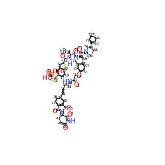 CC(C)(C)C(NC(=O)c1cc2cc(C(F)(F)P(=O)(O)O)ccc2s1)C(=O)N1Cc2cc(OCC(=O)NCCC#Cc3ccc4c(c3)C(=O)N(C3CCC(=O)NC3=O)C4=O)ccc2C[C@H]1C(=O)N1CCC[C@H](c2ccccc2)C1